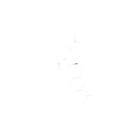 CC(C)(C)OC(=O)NO[C@](C)(C(=O)OC(C)(C)C)[C@H]1CCc2cc(/C(Cl)=N/O)ccc2O1